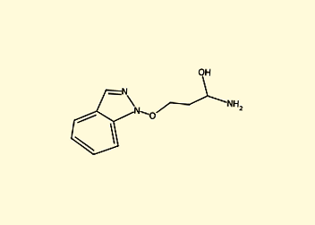 NC(O)CCOn1ncc2ccccc21